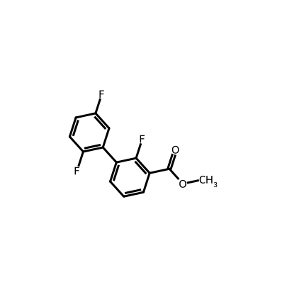 COC(=O)c1cccc(-c2cc(F)ccc2F)c1F